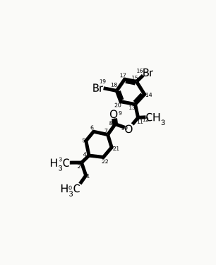 CCC(C)C1CCC(C(=O)OC(C)c2cc(Br)cc(Br)c2)CC1